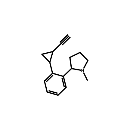 C#CC1CC1c1ccccc1C1CCCN1C